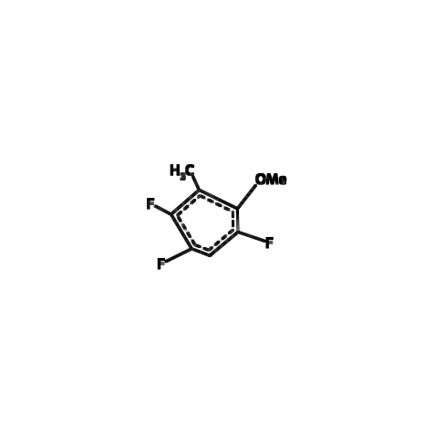 COc1c(F)cc(F)c(F)c1C